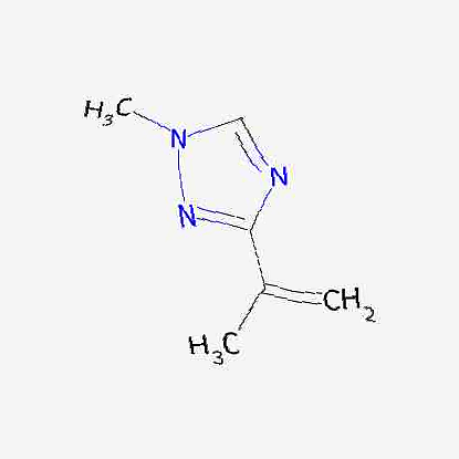 C=C(C)c1ncn(C)n1